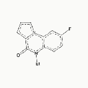 CCn1c(=O)c2cccn2c2cc(F)ccc21